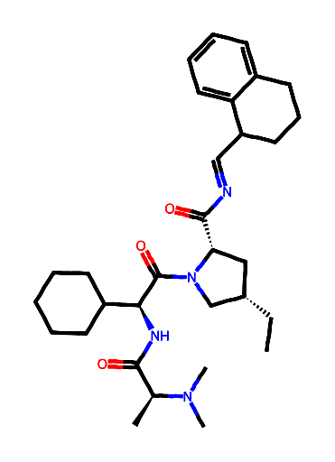 CC[C@H]1C[C@@H](C(=O)/N=C/C2CCCc3ccccc32)N(C(=O)[C@@H](NC(=O)[C@H](C)N(C)C)C2CCCCC2)C1